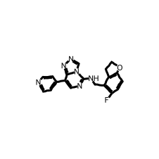 Fc1ccc2c(c1CNc1ncc(-c3ccncc3)c3nncn13)CCO2